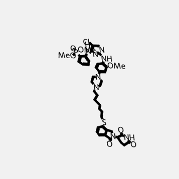 COc1cc(N2CCN(CCCCCCCSc3cccc4c3CN(C3CCC(=O)NC3=O)C4=O)CC2)ccc1Nc1ncc(Cl)c(Nc2ccccc2P(=O)(OC)OC)n1